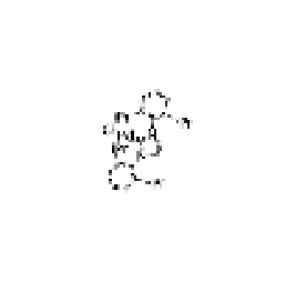 CC(C)c1cccc(C(C)C)c1-n1ccn(-c2c(C(C)C)cccc2C(C)C)[c]1=[Pd][Cl]